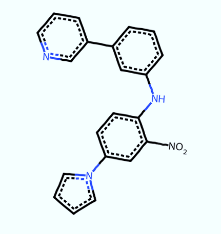 O=[N+]([O-])c1cc(-n2cccc2)ccc1Nc1cccc(-c2cccnc2)c1